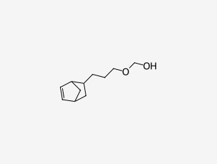 OCOCCCC1CC2C=CC1C2